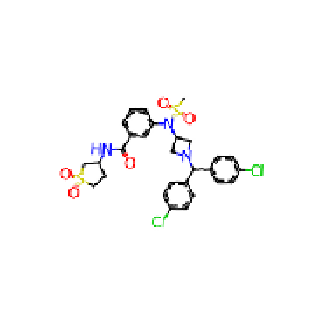 CS(=O)(=O)N(c1cccc(C(=O)NC2CCS(=O)(=O)C2)c1)C1CN(C(c2ccc(Cl)cc2)c2ccc(Cl)cc2)C1